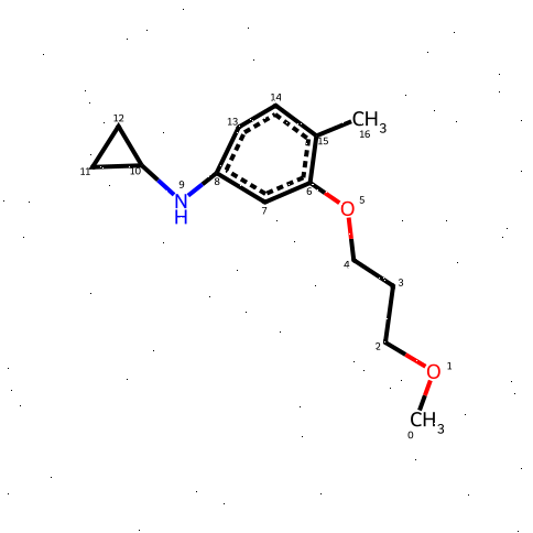 COCCCOc1cc(NC2CC2)ccc1C